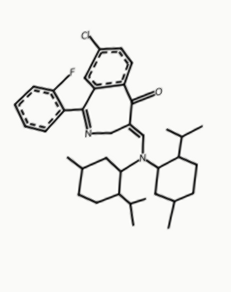 CC1CCC(C(C)C)C(N(C=C2CN=C(c3ccccc3F)c3cc(Cl)ccc3C2=O)C2CC(C)CCC2C(C)C)C1